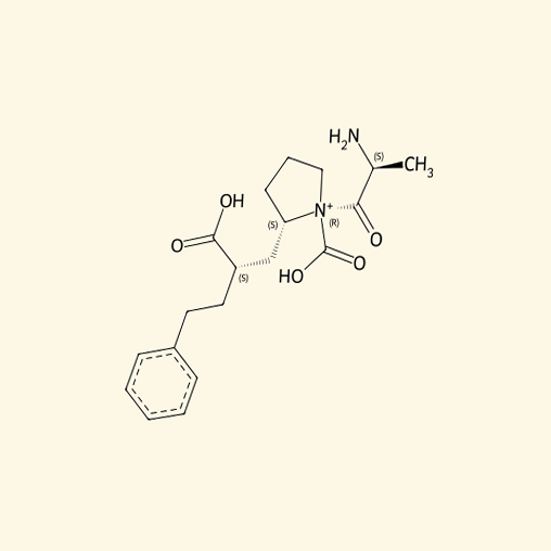 C[C@H](N)C(=O)[N@@+]1(C(=O)O)CCC[C@H]1C[C@H](CCc1ccccc1)C(=O)O